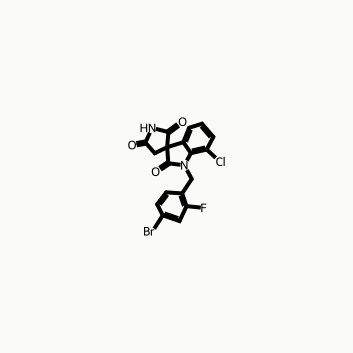 O=C1CC2(C(=O)N1)C(=O)N(Cc1ccc(Br)cc1F)c1c(Cl)cccc12